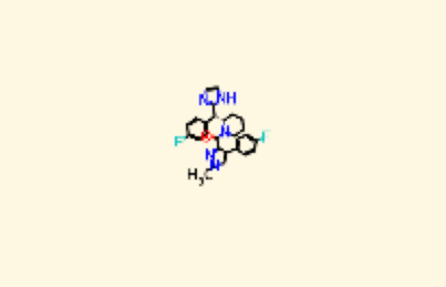 Cn1cc(-c2ccc(F)cc2)c(C(=O)N2CCCC[C@H]2C(c2ccc(F)cc2)c2ncc[nH]2)n1